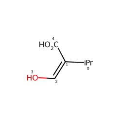 CC(C)/C(=C/O)C(=O)O